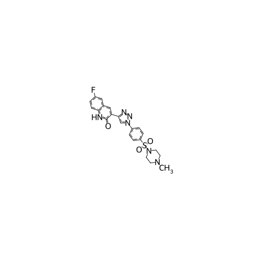 CN1CCN(S(=O)(=O)c2ccc(-n3cc(-c4cc5cc(F)ccc5[nH]c4=O)nn3)cc2)CC1